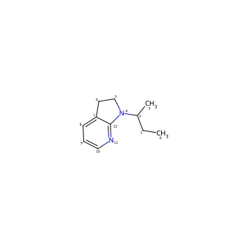 CCC(C)N1CCc2cccnc21